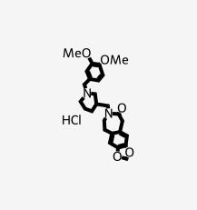 COc1ccc(CN2CCCC(CN3CCc4cc5c(cc4CC3=O)OCO5)C2)cc1OC.Cl